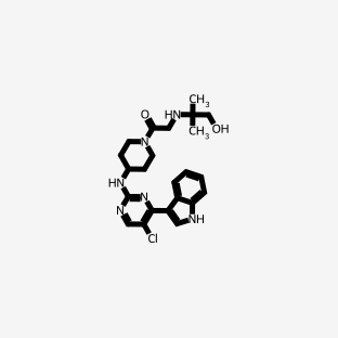 CC(C)(CO)NCC(=O)N1CCC(Nc2ncc(Cl)c(-c3c[nH]c4ccccc34)n2)CC1